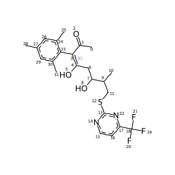 CC(=O)/C(=C(/O)CC(O)C(C)CSc1nccc(C(F)(F)F)n1)c1c(C)cc(C)cc1C